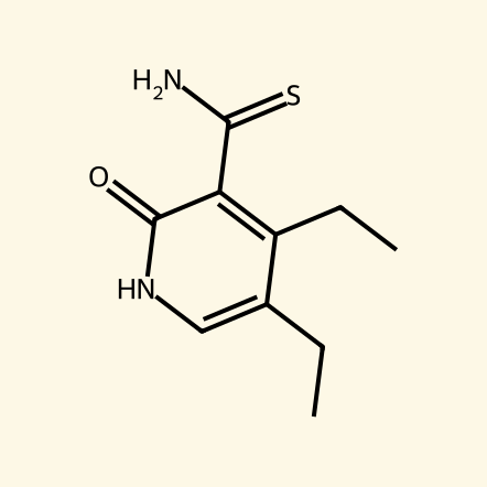 CCc1c[nH]c(=O)c(C(N)=S)c1CC